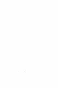 CCCCCCCCc1pn[nH]c1C